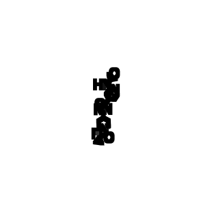 O=C(N1CCC(c2noc(-c3ccnc(NC4COC4)c3)n2)CC1)C1(F)CC1